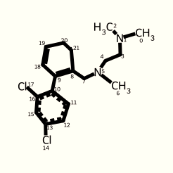 CN(C)CCN(C)CC1=C(c2ccc(Cl)cc2Cl)C=CC[CH]1